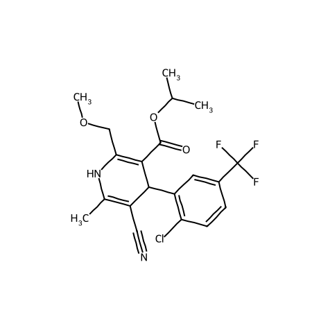 COCC1=C(C(=O)OC(C)C)C(c2cc(C(F)(F)F)ccc2Cl)C(C#N)=C(C)N1